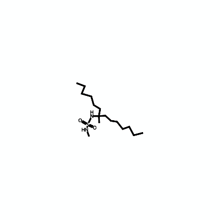 CCCCCCCC(C)(CCCCCC)NS(=O)(=O)NC